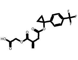 C=C(CC(=O)OC1(c2ccc(C(F)(F)F)cc2)CC1)C(=O)OCC(=O)O